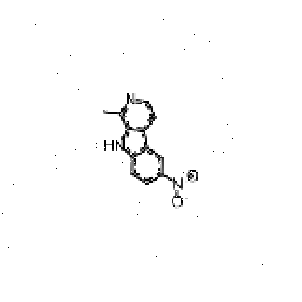 Cc1nccc2c1[nH]c1ccc([N+](=O)[O-])cc12